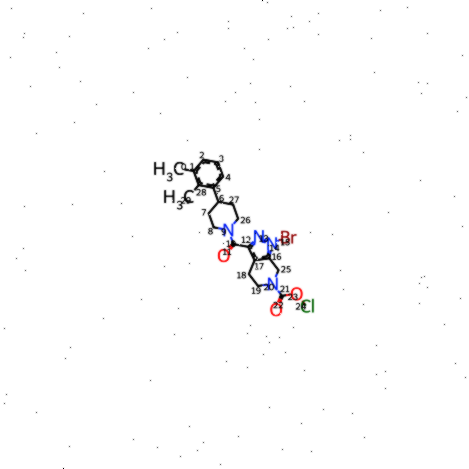 Cc1cccc(C2CCN(C(=O)c3nn(Br)c4c3CCN(C(=O)OCl)C4)CC2)c1C